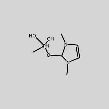 CN1C=CN(C)C1O[PH](C)(O)O